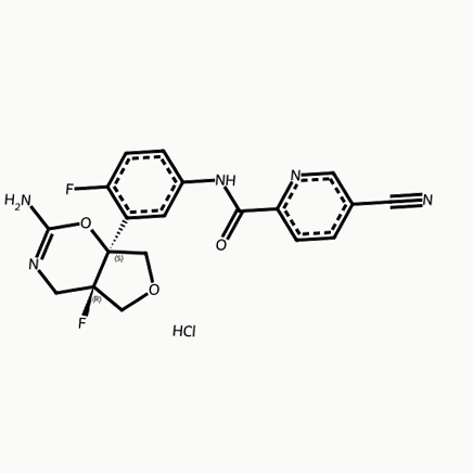 Cl.N#Cc1ccc(C(=O)Nc2ccc(F)c([C@]34COC[C@]3(F)CN=C(N)O4)c2)nc1